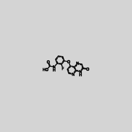 O=C(O)Nc1cccc(Oc2ccnc3[nH]c(=O)cnc23)c1F